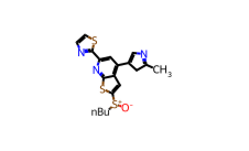 CCCC[S+]([O-])c1cc2c(C3=CN=C(C)C3)cc(-c3nccs3)nc2s1